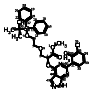 COC(=O)[C@H](COCCO[Si](c1ccccc1)(c1ccccc1)C(C)(C)C)Oc1nc(-c2cccc(Cl)c2C)nc2[nH]ncc12